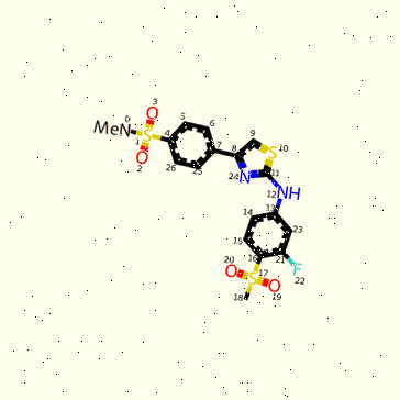 CNS(=O)(=O)c1ccc(-c2csc(Nc3ccc(S(C)(=O)=O)c(F)c3)n2)cc1